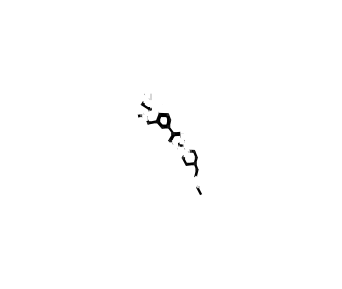 CCOCCC1CCN(c2ncc(-c3cccc(CN(C)C(=O)CN)c3)cn2)CC1